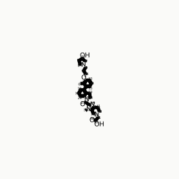 Cc1c(OCCCN2CCC(O)C2)cccc1-c1cccc2c1CCN2C(=O)c1nc2c(n1C)CN(CC(=O)O)CC2